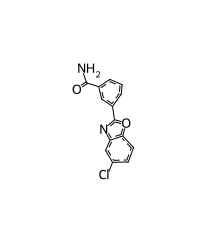 NC(=O)c1cccc(-c2nc3cc(Cl)ccc3o2)c1